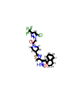 O=C(Cn1nc(C(F)(F)F)cc1Cl)N1CCC(c2nc(C3=C[C@@]4(CCCc5ccccc54)ON3)cs2)CC1